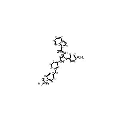 Cc1ccc(-n2nc(C3CCCN(Cc4ccc(S(C)(=O)=O)cc4)C3)cc2NC(=O)c2cnn3cccnc23)cc1